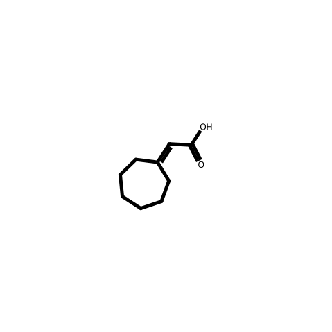 O=C(O)C=C1CCCCCC1